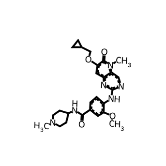 COc1cc(C(=O)NC2CCN(C)CC2)ccc1Nc1ncc2c(cc(OCC3CC3)c(=O)n2C)n1